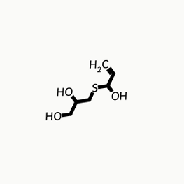 C=C[C](O)SCC(O)CO